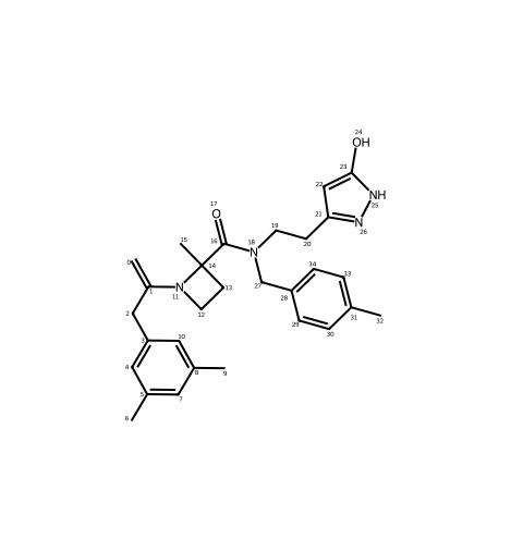 C=C(Cc1cc(C)cc(C)c1)N1CCC1(C)C(=O)N(CCc1cc(O)[nH]n1)Cc1ccc(C)cc1